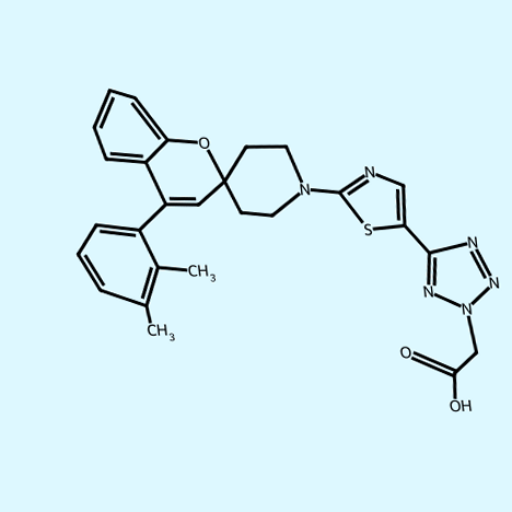 Cc1cccc(C2=CC3(CCN(c4ncc(-c5nnn(CC(=O)O)n5)s4)CC3)Oc3ccccc32)c1C